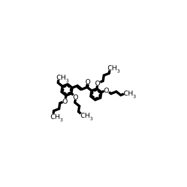 CCCCOc1cc(CC)cc(/C=C/C(=O)c2cccc(OCCCC)c2OCCCC)c1OCCCC